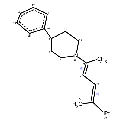 C/C(=C\C=C(/C)N1CCC(c2ccccc2)CC1)C(C)C